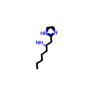 CCCCCCCc1ncc[nH]1.N